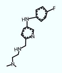 CN(C)CCNCc1ccc(Nc2ccc(F)cc2)cn1